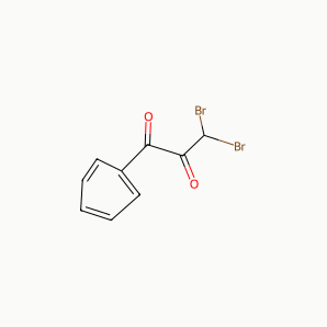 O=C(C(=O)C(Br)Br)c1ccccc1